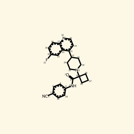 N#Cc1ccc(NC(=O)C2(N3CCC(c4ccnc5ccc(F)cc45)CC3)CCC2)cc1